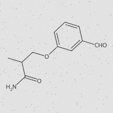 CC(COc1cccc(C=O)c1)C(N)=O